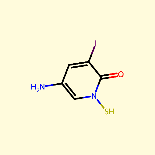 Nc1cc(I)c(=O)n(S)c1